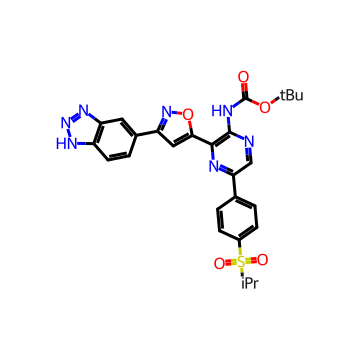 CC(C)S(=O)(=O)c1ccc(-c2cnc(NC(=O)OC(C)(C)C)c(-c3cc(-c4ccc5[nH]nnc5c4)no3)n2)cc1